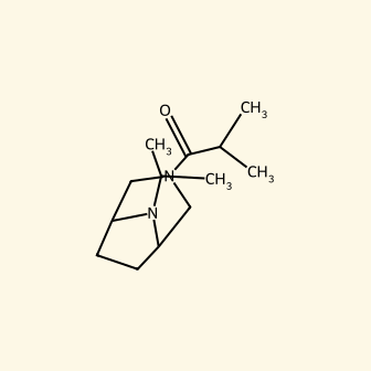 CC(C)C(=O)N1CC2CCC(C1)N2C(C)C